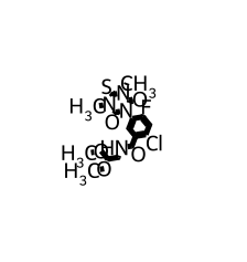 COC(CNC(=O)c1cc(-n2c(=O)n(C)c(=S)n(C)c2=O)c(F)cc1Cl)OC